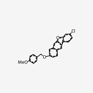 COc1ccc(COc2ccc3cc4c(cc3c2)oc2cc(Cl)ccc24)cc1